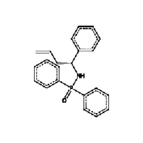 C=CC[C@@H](NP(=O)(c1ccccc1)c1ccccc1)c1ccccc1